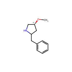 CO[C@@H]1CNC(Cc2ccccc2)C1